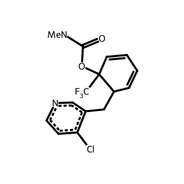 CNC(=O)OC1(C(F)(F)F)C=CC=CC1Cc1cnccc1Cl